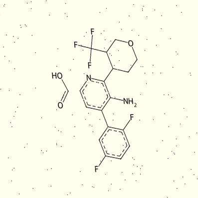 Nc1c(-c2cc(F)ccc2F)ccnc1C1CCOCC1C(F)(F)F.O=CO